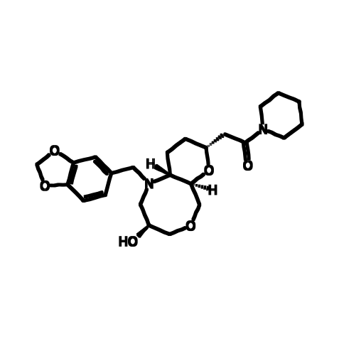 O=C(C[C@H]1CC[C@@H]2[C@H](COC[C@@H](O)CN2Cc2ccc3c(c2)OCO3)O1)N1CCCCC1